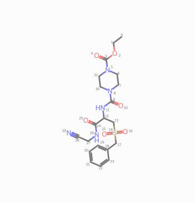 CCOC(=O)N1CCN(C(=O)NC(CS(=O)(=O)Cc2ccccc2)C(=O)NCC#N)CC1